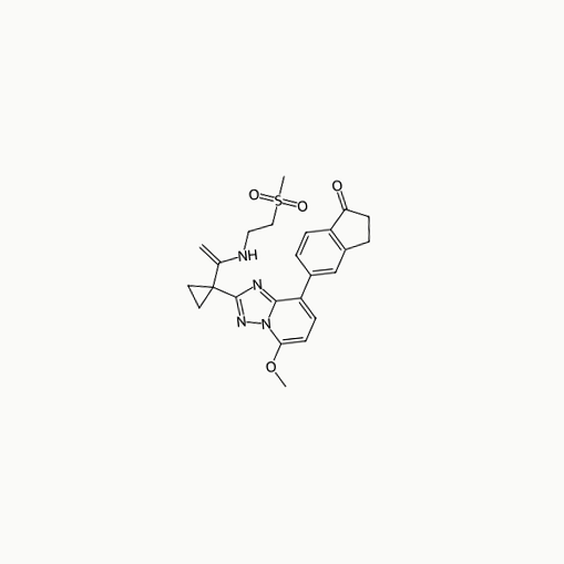 C=C(NCCS(C)(=O)=O)C1(c2nc3c(-c4ccc5c(c4)CCC5=O)ccc(OC)n3n2)CC1